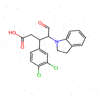 O=CC(C(CC(=O)O)c1ccc(Cl)c(Cl)c1)N1CCc2ccccc21